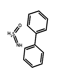 N=[SH2]=O.c1ccc(-c2ccccc2)cc1